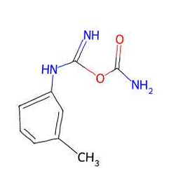 Cc1cccc(NC(=N)OC(N)=O)c1